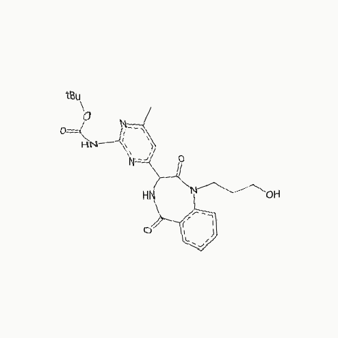 Cc1cc(C2NC(=O)c3ccccc3N(CCCO)C2=O)nc(NC(=O)OC(C)(C)C)n1